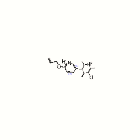 C=CCOC(=C)/C=C\C(=C/N)C1=C(C)NC(C)=C(Cl)C1=C